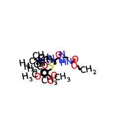 C=CCOC(=O)NCc1noc([C@@H](N)CSCc2c(O[Si](C)(C)C(C)(C)C(C)C)cc(OC)c(C)c2C(=O)OC)n1